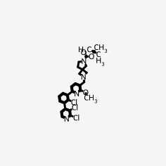 COc1nc(-c2cccc(-c3ccnc(Cl)c3Cl)c2Cl)ccc1CN1CC2(CCN(C(=O)OC(C)(C)C)C2)C1